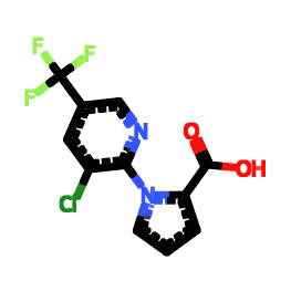 O=C(O)c1cccn1-c1ncc(C(F)(F)F)cc1Cl